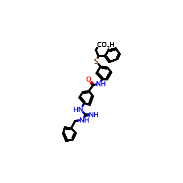 N=C(NCc1ccccc1)Nc1ccc(C(=O)Nc2cccc(SC(CC(=O)O)c3ccccc3)c2)cc1